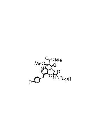 CNC(=O)c1c(OC)c2ncc(Cc3ccc(F)cc3)c3c2n(c1=O)C[C@](C)(C(=O)NCCO)O3